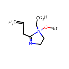 C=CCC1=NCC[N+]1(CC(=O)O)OCC